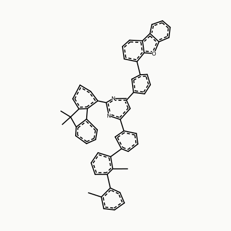 Cc1ccccc1-c1cccc(-c2cccc(-c3cc(-c4cccc(-c5cccc6c5oc5ccccc56)c4)nc(-c4cccc5c4-c4ccccc4C5(C)C)n3)c2)c1C